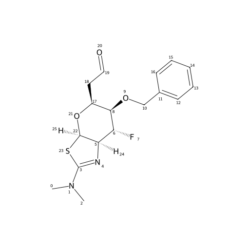 CN(C)C1=N[C@@H]2[C@@H](F)[C@H](OCc3ccccc3)[C@H](CC=O)O[C@@H]2S1